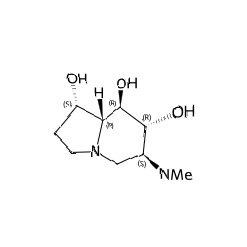 CN[C@H]1CN2CC[C@H](O)[C@@H]2[C@@H](O)[C@@H]1O